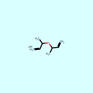 C=CC(C)OC(C)C=C.[LiH]